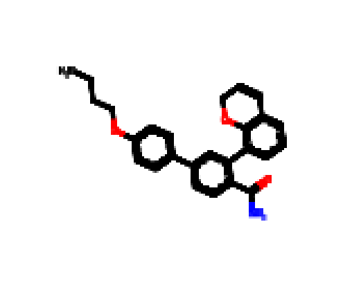 CCCCOc1ccc(-c2ccc(C(N)=O)c(-c3cccc4c3OCC=C4)c2)cc1